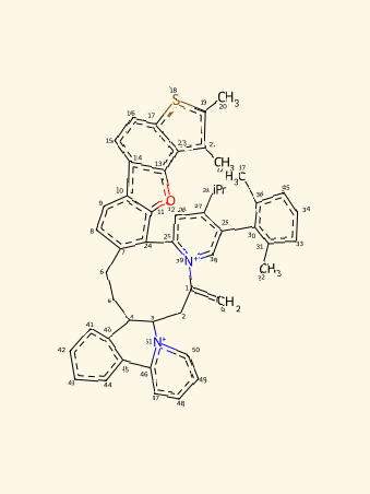 C=C1CC2C(CCc3ccc4c(oc5c4ccc4sc(C)c(C)c45)c3-c3cc(C(C)C)c(-c4c(C)cccc4C)c[n+]31)c1ccccc1-c1cccc[n+]12